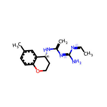 C=C(/N=C(N)\N=C/C)N[C@@H]1CCOc2ccc(C)cc21